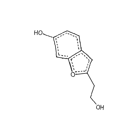 OCCc1cc2ccc(O)cc2o1